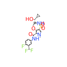 Cn1cc2c(c1C(=O)Nc1ccc(F)c(C(F)F)c1)OC[C@H](C(O)C1CC1)NS2(=O)=O